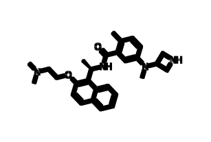 Cc1ccc(N(C)C2CNC2)cc1C(=O)N[C@H](C)c1c(OCCN(C)C)ccc2ccccc12